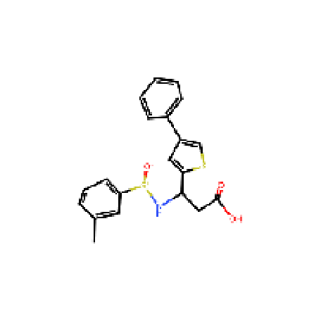 Cc1cccc([S@@+]([O-])NC(CC(=O)O)c2cc(-c3ccccc3)cs2)c1